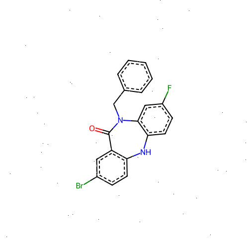 O=C1c2cc(Br)ccc2Nc2ccc(F)cc2N1Cc1ccccc1